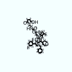 O=C(NCCN1C(=O)C=CC1O)OCCNC(=O)N(C[C@@H]1CNC[C@@H]1F)[C@@H](c1nc(-c2cc(F)ccc2F)cn1Cc1ccccc1)C1CCOCC1